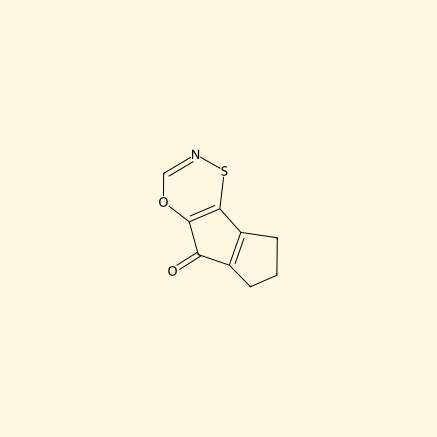 O=c1c2c(c3sncoc1=3)CCC2